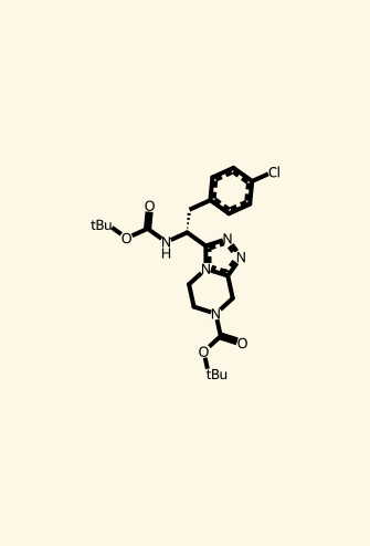 CC(C)(C)OC(=O)N[C@H](Cc1ccc(Cl)cc1)c1nnc2n1CCN(C(=O)OC(C)(C)C)C2